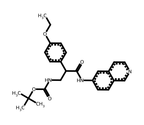 CCOc1ccc(C(CNC(=O)OC(C)(C)C)C(=O)Nc2ccc3cnccc3c2)cc1